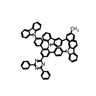 Cc1cccc(-c2ccc3c(c2)c2ccccc2n3-c2c(-c3ccc(-n4c5ccccc5c5ccccc54)cc3)cc(-c3nc(-c4ccccc4)nc(-c4ccccc4)n3)cc2-c2ccc(-n3c4ccccc4c4ccccc43)cc2)c1